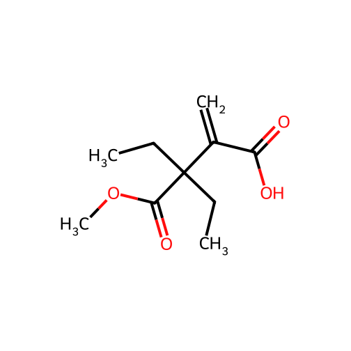 C=C(C(=O)O)C(CC)(CC)C(=O)OC